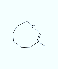 C/C1=C/CCCCCCC1